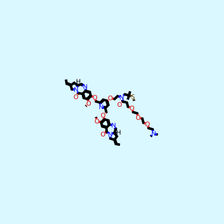 C/C=C1\C[C@H]2C=Nc3cc(OCc4cc(OCCN(CC(C)(C)SC)C(=O)CCOCCOCCOCCN(C)C)cc(COc5cc6c(cc5OC)C(=O)N5C/C(=C/C)C[C@H]5C=N6)n4)c(OC)cc3C(=O)N2C1